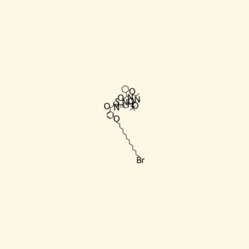 CC(C(=O)NC(C(=O)N1CCC[C@H]1c1nc(C(=O)c2cccc(OCCCCCCCCCCCCCCBr)c2)cs1)C1CCCCC1)N(C)C(=O)OC(C)(C)C